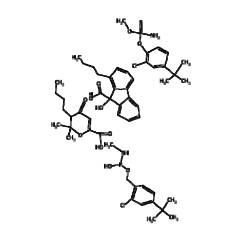 CCCCC1C(=O)C=C(C(=O)O)OC1(C)C.CCCCc1cccc2c1C(O)(C(=O)O)c1ccccc1-2.CNP(O)OCc1ccc(C(C)(C)C)cc1Cl.COP(N)(=S)Oc1ccc(C(C)(C)C)cc1Cl